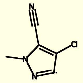 Cn1n[c]c(Cl)c1C#N